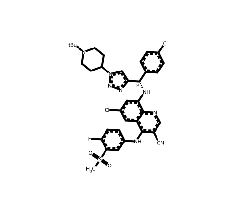 CC(C)(C)N1CCC(n2cc([C@@H](Nc3cc(Cl)cc4c(Nc5ccc(F)c(S(C)(=O)=O)c5)c(C#N)cnc34)c3ccc(Cl)cc3)nn2)CC1